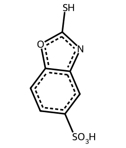 O=S(=O)(O)c1ccc2oc(S)nc2c1